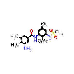 COc1c(NC(=O)c2cc(C)c(C)c(N)c2)cc(C(C)(C)C)cc1NS(C)(=O)=O